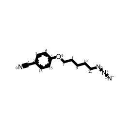 N#Cc1ccc(OCCCCCN=[N+]=[N-])cc1